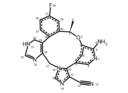 C[C@H]1Oc2cc(cnc2N)-c2c(C#N)ncn2CC2=C(CNC=N2)c2ccc(F)cc21